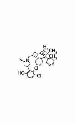 CC(C)(C)[Si](OC1CC(CN2CC(c3c(O)ccc(Cl)c3Cl)CC2=S)C1)(c1ccccc1)c1ccccc1